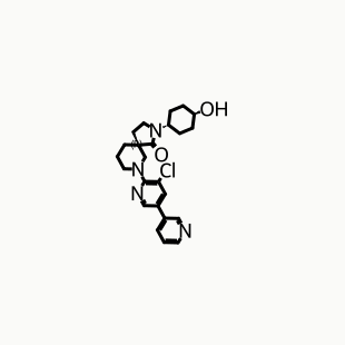 O=C1N([C@H]2CC[C@H](O)CC2)CC[C@@]12CCCN(c1ncc(-c3cccnc3)cc1Cl)C2